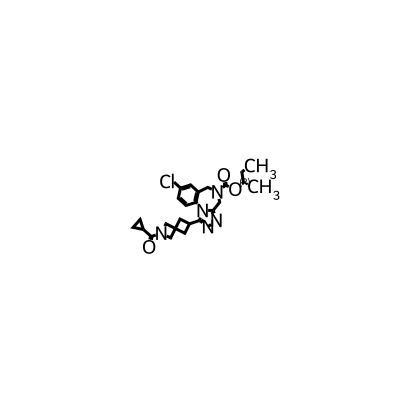 CC[C@@H](C)OC(=O)N1Cc2cc(Cl)ccc2-n2c(nnc2C2CC3(C2)CN(C(=O)C2CC2)C3)C1